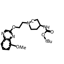 COc1cccc2ncc(OCCN3CCC(NC(=O)OC(C)(C)C)CC3)nc12